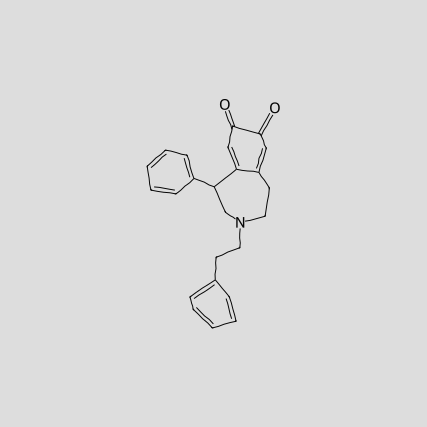 O=C1C=C2CCN(CCc3ccccc3)CC(c3ccccc3)C2=CC1=O